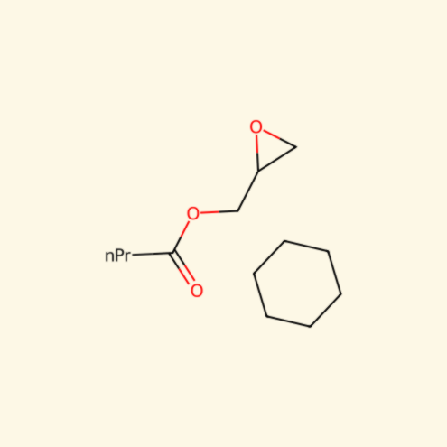 C1CCCCC1.CCCC(=O)OCC1CO1